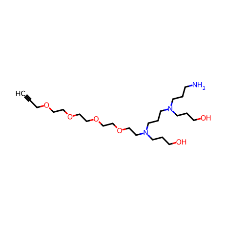 C#CCOCCOCCOCCOCCN(CCCO)CCCN(CCCN)CCCO